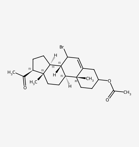 CC(=O)OC1CC[C@@]2(C)C(=CC(Br)[C@H]3[C@@H]4CC[C@H](C(C)=O)[C@@]4(C)CC[C@@H]32)C1